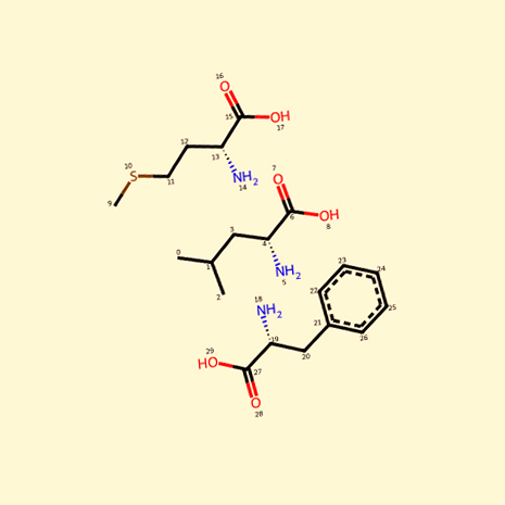 CC(C)C[C@@H](N)C(=O)O.CSCC[C@@H](N)C(=O)O.N[C@H](Cc1ccccc1)C(=O)O